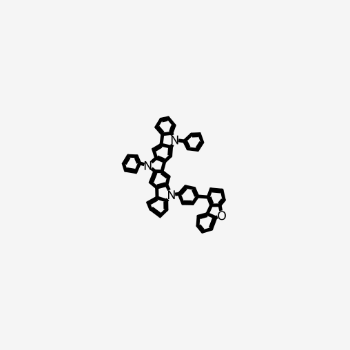 c1ccc(-n2c3ccccc3c3cc4c(cc32)c2cc3c(cc2n4-c2ccccc2)c2ccccc2n3-c2ccc(-c3cccc4oc5ccccc5c34)cc2)cc1